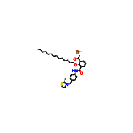 CCCCCCCCCCCCCCOc1c(C(C)=O)cccc1C(=O)Nc1ccc(C[n+]2ccsc2C)cc1.[Br-]